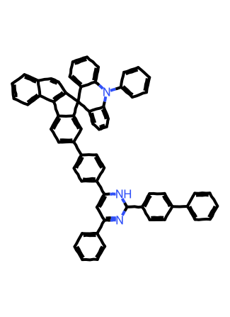 C1=C(c2ccc(-c3ccc4c(c3)C3(c5ccccc5N(c5ccccc5)c5ccccc53)c3ccc5ccccc5c3-4)cc2)NC(c2ccc(-c3ccccc3)cc2)N=C1c1ccccc1